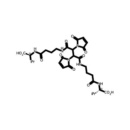 CC(C)[C@H](NC(=O)CCCNC(=O)C(C(C(=O)NCCCC(=O)N[C@H](C(=O)O)C(C)C)N1C(=O)C=CC1=O)N1C(=O)C=CC1=O)C(=O)O